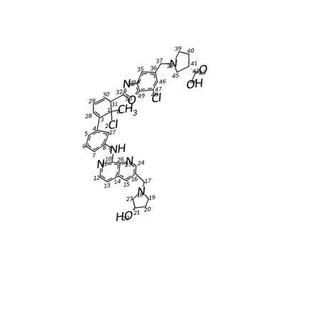 CC1(Cl)C(c2cccc(Nc3nccc4cc(CN5CC[C@@H](O)C5)cnc34)c2)=CC=CC1c1nc2cc(CN3CC[C@H](C(=O)O)C3)cc(Cl)c2o1